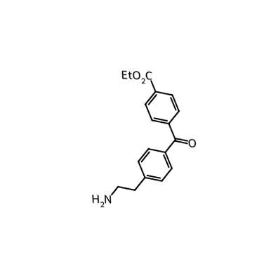 CCOC(=O)c1ccc(C(=O)c2ccc(CCN)cc2)cc1